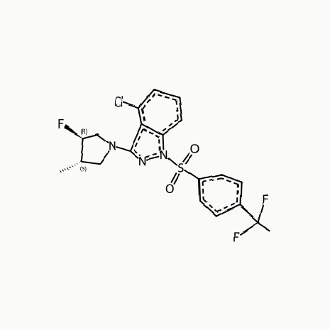 C[C@H]1CN(c2nn(S(=O)(=O)c3ccc(C(C)(F)F)cc3)c3cccc(Cl)c23)C[C@@H]1F